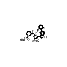 COC1=NC(N[C@@H]2CCCN(C(=O)OC(C)(C)C)C2)NC(c2c[nH]c3ccc(-c4c(F)cccc4F)cc23)=C1